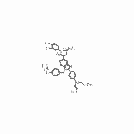 NC(=O)CC(NCc1ccc(Cl)c(Cl)c1)c1ccc2c(c1)nc(-c1ccc(N(CCO)CCO)cc1)n2Cc1ccc(OC(F)(F)F)cc1